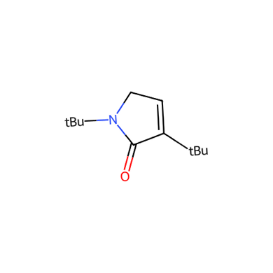 CC(C)(C)C1=CCN(C(C)(C)C)C1=O